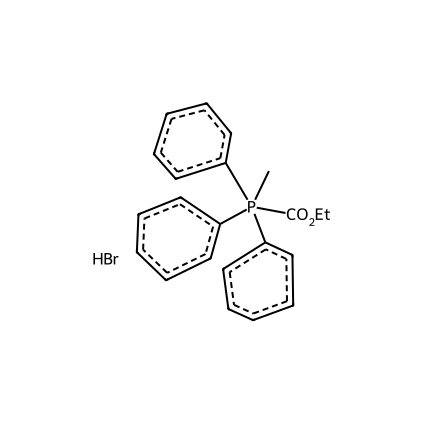 Br.CCOC(=O)P(C)(c1ccccc1)(c1ccccc1)c1ccccc1